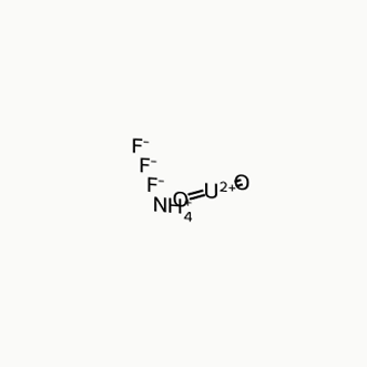 [F-].[F-].[F-].[NH4+].[O]=[U+2]=[O]